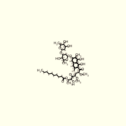 CCCCCCCCCC(=O)O[C@H](C)[C@H](O)C(=O)[C@@H](OC)[C@@H]1Cc2cc3cc(O[C@H]4CC(O[C@H]5CC(O)[C@H](O)C(C)O5)[C@H](O)C(C)O4)c(C)c(O)c3c(O)c2C(=O)[C@H]1OC